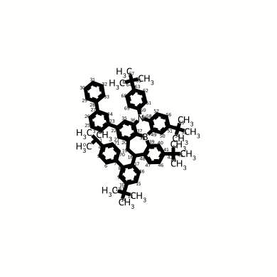 CC(C)(C)c1ccc(-c2cc(C(C)(C)C)ccc2C2Cc3cc(-c4cccc(-c5ccccc5)c4)cc4c3B(c3cc(C(C)(C)C)ccc32)c2cc(C(C)(C)C)ccc2N4c2ccc(C(C)(C)C)cc2)cc1